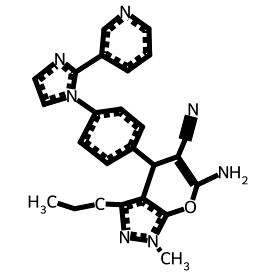 CCCc1nn(C)c2c1C(c1ccc(-n3ccnc3-c3cccnc3)cc1)C(C#N)=C(N)O2